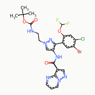 CC(C)(C)OC(=O)NCCn1cc(NC(=O)c2cnn3cccnc23)c(-c2cc(Br)c(Cl)cc2OC(F)F)n1